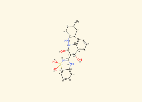 CC(C)C1CCC(Nn2c(=O)c(C3=NS(O)(O)c4ccccc4N3)c(O)c3ccccc32)CC1